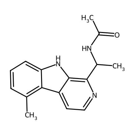 CC(=O)NC(C)c1nccc2c1[nH]c1cccc(C)c12